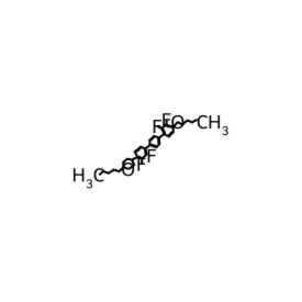 CCCCCOc1ccc(-c2ccc(-c3ccc(C4CCC(CCCCC)OC4)c(F)c3F)cc2)c(F)c1F